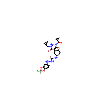 O=C(NCC1CC1)c1c(NC(=O)C2CC2)sc2c1C[C@@H](NC(=S)NNc1ccc3c(c1)OC(F)(F)O3)CC2